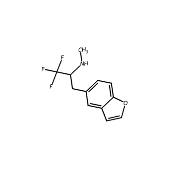 CNC(Cc1ccc2occc2c1)C(F)(F)F